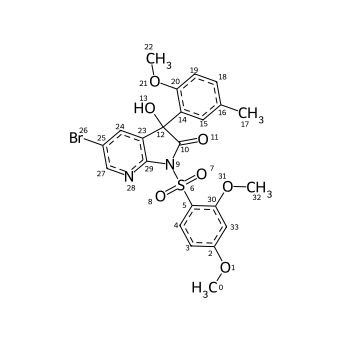 COc1ccc(S(=O)(=O)N2C(=O)C(O)(c3cc(C)ccc3OC)c3cc(Br)cnc32)c(OC)c1